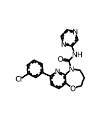 O=C(Nc1cnccn1)N1CCCOc2ccc(-c3cccc(Cl)c3)nc21